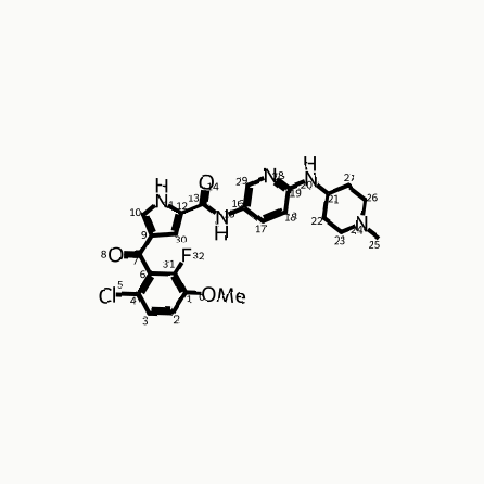 COc1ccc(Cl)c(C(=O)c2c[nH]c(C(=O)Nc3ccc(NC4CCN(C)CC4)nc3)c2)c1F